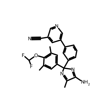 CC1=NC(c2cccc(-c3cncc(C#N)c3)c2)(c2cc(C)c(OC(F)F)c(C)c2)N=C1N